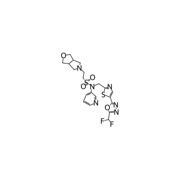 O=S(=O)(CCN1CC2COCC2C1)N(Cc1ncc(-c2nnc(C(F)F)o2)s1)c1cccnc1